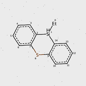 CC[SiH]1c2ccccc2Sc2ccccc21